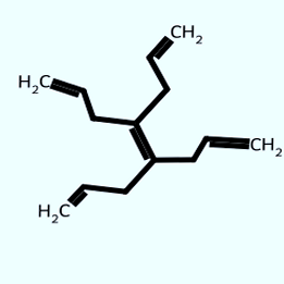 C=CCC(CC=C)=C(CC=C)CC=C